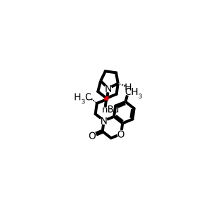 CCCCC1CC2CC[C@@H](C1)N2C[C@@H](C)CN1C(=O)COc2ccc(C)cc21